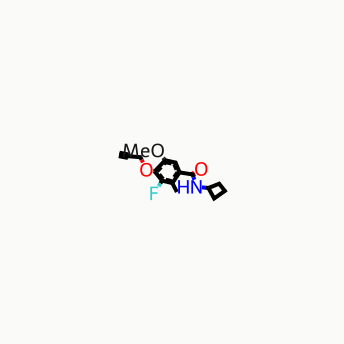 C#CCOc1c(OC)cc(C(=O)NC2CCC2)c(C)c1F